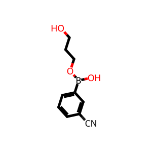 N#Cc1cccc(B(O)OCCCO)c1